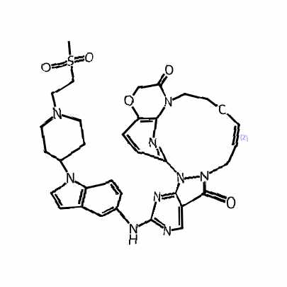 CS(=O)(=O)CCN1CCC(n2ccc3cc(Nc4ncc5c(=O)n6n(c5n4)-c4ccc5c(n4)N(CCC/C=C\C6)C(=O)CO5)ccc32)CC1